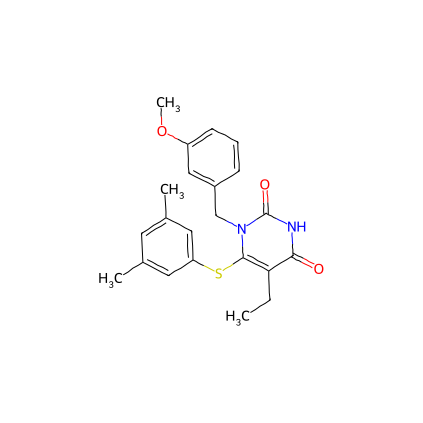 CCc1c(Sc2cc(C)cc(C)c2)n(Cc2cccc(OC)c2)c(=O)[nH]c1=O